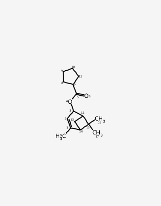 CC1=CC(OC(=O)C2CCCC2)C2CC1C2(C)C